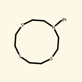 CC(C)N1CCSCCSCCSCC1